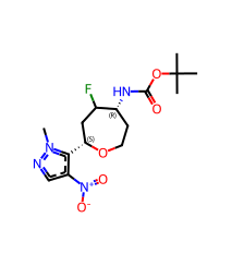 Cn1ncc([N+](=O)[O-])c1[C@@H]1CC(F)[C@H](NC(=O)OC(C)(C)C)CCO1